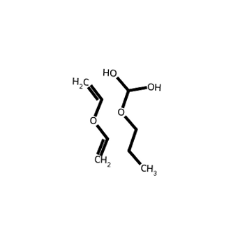 C=COC=C.CCCOC(O)O